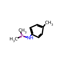 Cc1ccc(NP(C)C)cc1